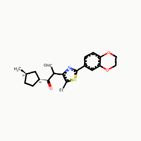 CCc1sc(-c2ccc3c(c2)OCCO3)nc1C(C=O)C(=O)[C@@H]1CC[C@@H](C)C1